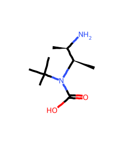 C[C@H]([C@@H](C)N)N(C(=O)O)C(C)(C)C